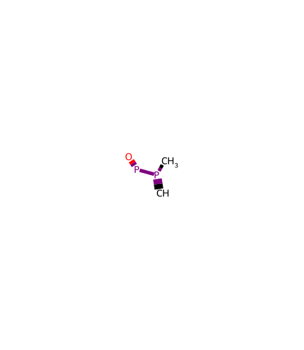 C#P(C)P=O